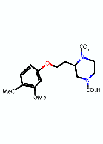 COc1ccc(OCC[C@@H]2CN(C(=O)O)CCN2C(=O)O)cc1OC